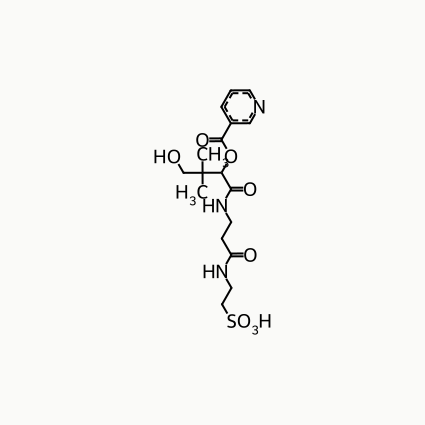 CC(C)(CO)C(OC(=O)c1cccnc1)C(=O)NCCC(=O)NCCS(=O)(=O)O